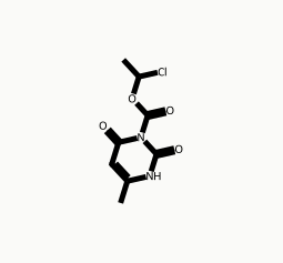 Cc1cc(=O)n(C(=O)OC(C)Cl)c(=O)[nH]1